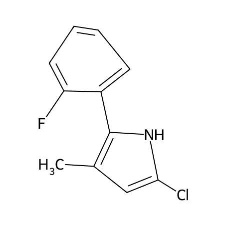 Cc1cc(Cl)[nH]c1-c1ccccc1F